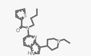 CCCCN(C(=O)c1cccs1)c1ccc2[nH]cc(C3CCN(CC)CC3)c2n1